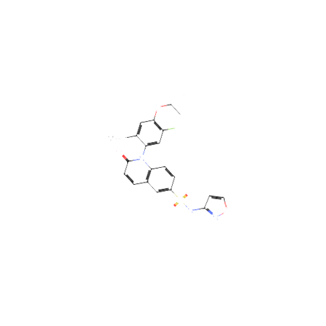 COc1cc(O[C@@H](C)C(F)(F)F)c(F)cc1-n1c(=O)ccc2cc(S(=O)(=O)Nc3ccon3)ccc21